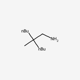 CCCCC(C)(CN)CCCC